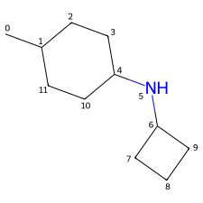 CC1CCC(NC2CCC2)CC1